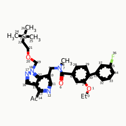 CCOc1cc(C(=O)N(C)Cc2cnc(C(C)=O)c3cnn(COCC[Si](C)(C)C)c23)ccc1-c1cccc(F)c1